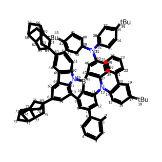 Cc1ccccc1-c1cc2c3c(c1)N(c1ccc(C(C)(C)C)cc1-c1ccccc1)c1ccc(N(c4ccc(C(C)(C)C)cc4)C4C=CC(C(C)(C)C)=CC4)cc1B3n1c3ccc(C45CC6CC7CC6(C4)C7C5)cc3c3cc(C45CC6CC7CC6(C4)C7C5)cc-2c31